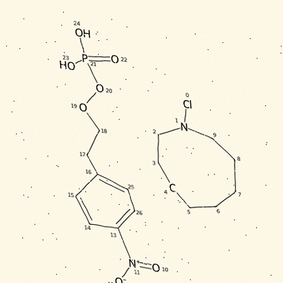 ClN1CCCCCCCC1.O=[N+]([O-])c1ccc(CCOOP(=O)(O)O)cc1